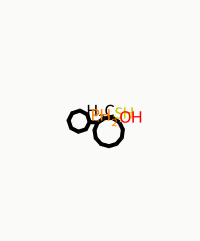 CC1(S)CC(P)(C2CCCCCCC2)CCCCCCCC1O